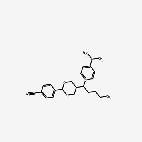 CCCCC(C1COC(c2ccc(C#N)cc2)OC1)[n+]1ccc(N(C)C)cc1